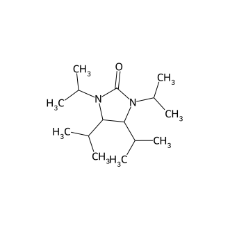 CC(C)C1C(C(C)C)N(C(C)C)C(=O)N1C(C)C